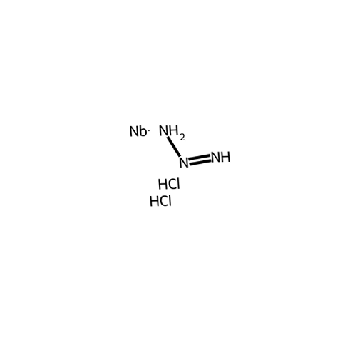 Cl.Cl.N=NN.[Nb]